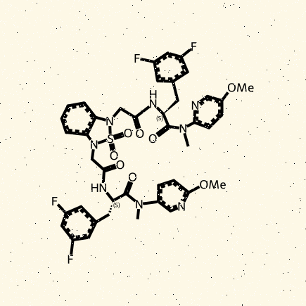 COc1ccc(N(C)C(=O)[C@H](Cc2cc(F)cc(F)c2)NC(=O)CN2c3ccccc3N(CC(=O)N[C@@H](Cc3cc(F)cc(F)c3)C(=O)N(C)c3ccc(OC)nc3)S2(=O)=O)nc1